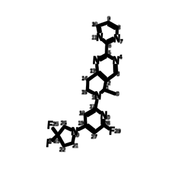 CC1c2cnc(-c3ncccn3)nc2CCN1c1cc(N2CCC(F)(F)C2)cc(F)n1